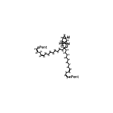 CCCCC/C=C\C/C=C\CCCCCCCCC1(CCCCCCCC/C=C\C/C=C\CCCCC)O[C@@H]2C3CC(C4C[C@H]43)[C@@H]2O1